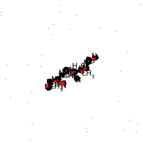 Cc1cc(-c2cc(Oc3ccncc3)n3cc([C@H]4CCC[C@@H](c5ncc(-c6cc(OC7CN8CCC7CC8)n7cc([C@H]8CCC[C@@H](c9ncccc9C)N8C)nc7c6)cc5C)N4C)nc3c2)cnc1[C@@H]1CCC[C@H](c2cn3c(Oc4cccnc4)cccc3n2)N1C